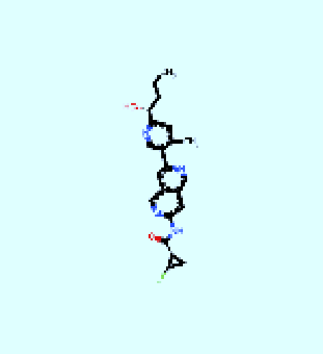 CCC[C@@H](O)c1cc(C)c(-c2cc3cnc(NC(=O)[C@H]4C[C@H]4F)cc3cn2)cn1